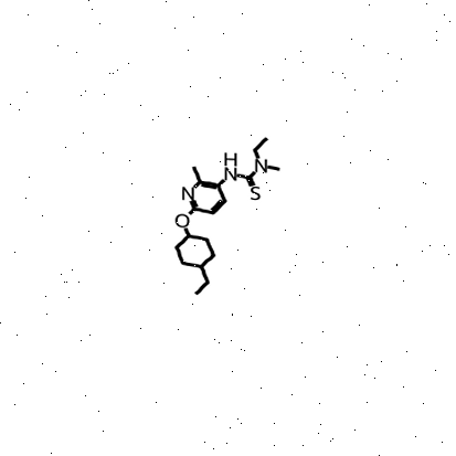 CCC1CCC(Oc2ccc(NC(=S)N(C)CC)c(C)n2)CC1